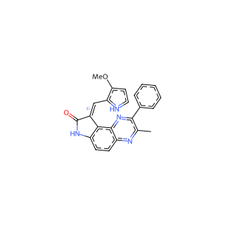 COc1cc[nH]c1/C=C1/C(=O)Nc2ccc3nc(C)c(-c4ccccc4)nc3c21